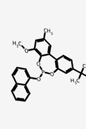 COc1cc(C)cc2c1op(Oc1cccc3ccccc13)oc1cc(C(C)(C)C)ccc12